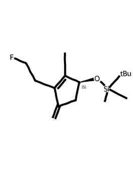 C=C1C[C@H](O[Si](C)(C)C(C)(C)C)C(C)=C1CCF